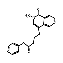 Cn1cc(CCCC(=O)Sc2ccccc2)c2ccccc2c1=O